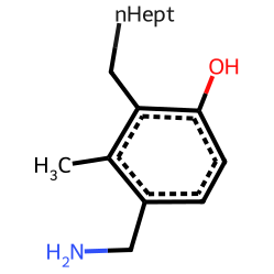 CCCCCCCCc1c(O)ccc(CN)c1C